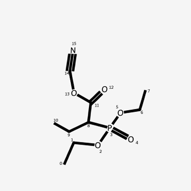 CCOP(=O)(OCC)C(CC)C(=O)OC#N